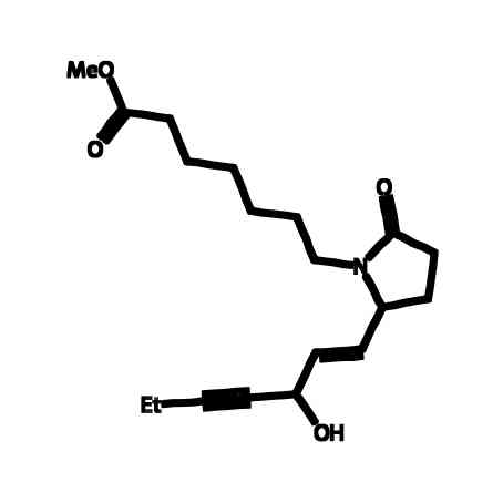 CCC#CC(O)C=CC1CCC(=O)N1CCCCCCC(=O)OC